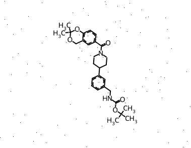 CC(C)(C)OC(=O)NCc1cccc(C2CCN(C(=O)c3ccc4c(c3)COC(C)(C)O4)CC2)c1